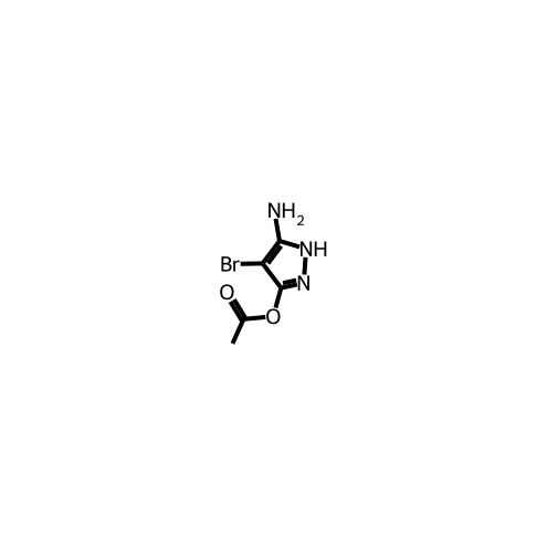 CC(=O)Oc1n[nH]c(N)c1Br